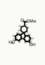 COC(=O)C1CCC(c2ccc(O)cc2)(c2ccc(O)cc2)CC1